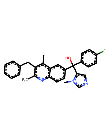 Cc1c(Cc2ccccc2)c(C(F)(F)F)nc2ccc(C(O)(c3ccc(Cl)cc3)c3cncn3C)cc12